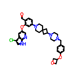 O=Cc1ccc(N2CCC3(CC2)CC(N2CCN(Cc4ccc(OC5COC5)cc4)CC2)C3)cc1Oc1cnc2[nH]cc(Cl)c2c1